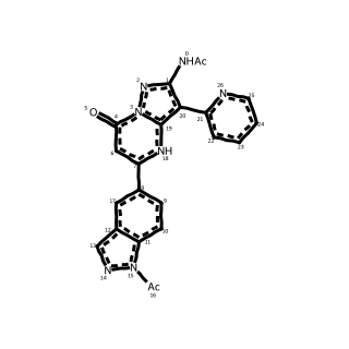 CC(=O)Nc1nn2c(=O)cc(-c3ccc4c(cnn4C(C)=O)c3)[nH]c2c1-c1ccccn1